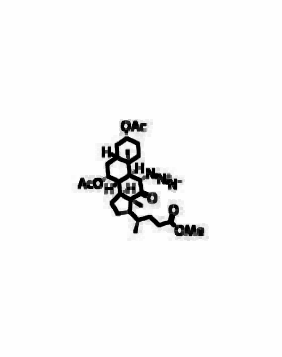 COC(=O)CC[C@@H](C)[C@H]1CC[C@H]2[C@H]3[C@H]([C@H](N=[N+]=[N-])C(=O)[C@]12C)[C@@]1(C)CC[C@@H](OC(C)=O)C[C@H]1C[C@H]3OC(C)=O